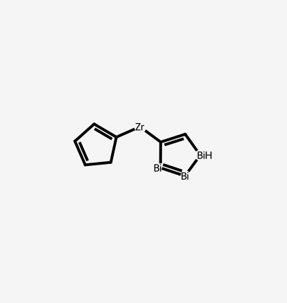 C1=CC[C]([Zr][C]2=[CH][BiH][Bi]=[Bi]2)=C1